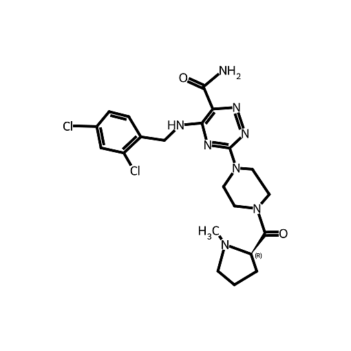 CN1CCC[C@@H]1C(=O)N1CCN(c2nnc(C(N)=O)c(NCc3ccc(Cl)cc3Cl)n2)CC1